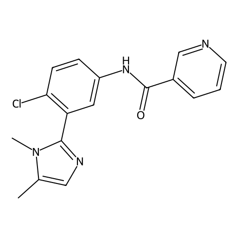 Cc1cnc(-c2cc(NC(=O)c3cccnc3)ccc2Cl)n1C